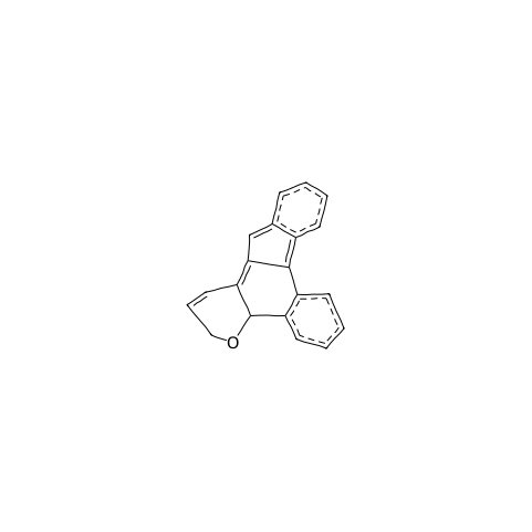 C1=CC2=C3C=c4ccccc4=C3c3ccccc3C2OC1